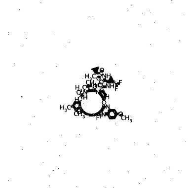 COc1ccc2nc3c(nc2c1)O[C@@H]1C[C@@H](C(=O)N[C@]2(C(=O)NS(=O)(=O)C4(C)CC4)C[C@H]2C(F)F)N(C1)C(=O)[C@H](C(C)(C)C)NC(=O)O[C@@H]1C[C@H](C)[C@H](C)[C@H]1CCCCC3(F)F